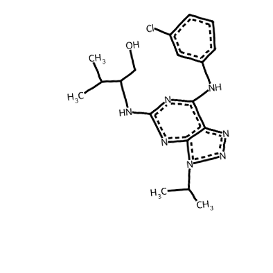 CC(C)C(CO)Nc1nc(Nc2cccc(Cl)c2)c2nnn(C(C)C)c2n1